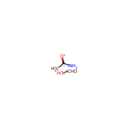 CC(N)=O.O=CO